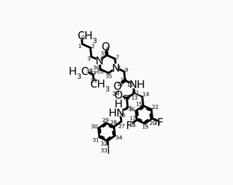 CCCCN1C(=O)CN(CC(=O)N[C@@H](Cc2cc(F)cc(F)c2)[C@H](O)CNCc2cccc(I)c2)C[C@@H]1C(C)C